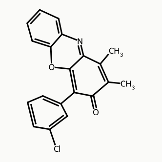 Cc1c2nc3ccccc3oc-2c(-c2cccc(Cl)c2)c(=O)c1C